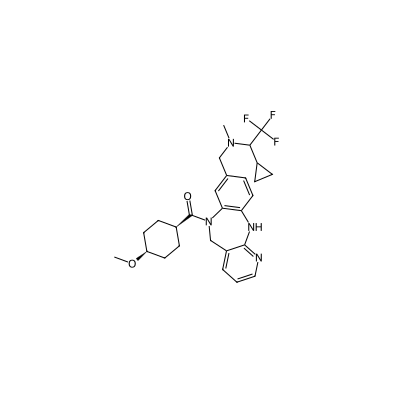 CO[C@H]1CC[C@@H](C(=O)N2Cc3cccnc3Nc3ccc(CN(C)C(C4CC4)C(F)(F)F)cc32)CC1